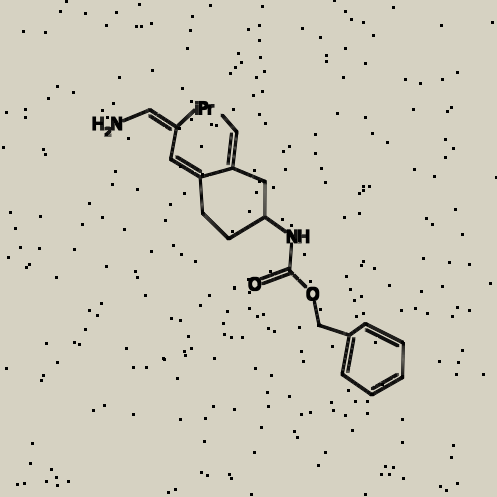 C/C=C1/CC(NC(=O)OCc2ccccc2)CC/C1=C/C(=C\N)C(C)C